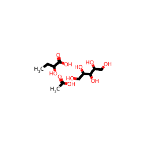 CC(=O)O.CCC(O)C(=O)O.OCC(O)C(O)C(O)CO